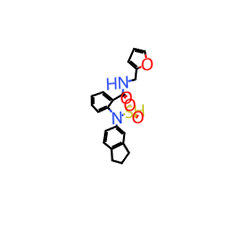 O=C(NCc1ccco1)c1ccccc1N(c1ccc2c(c1)CCC2)[SH](=O)=O